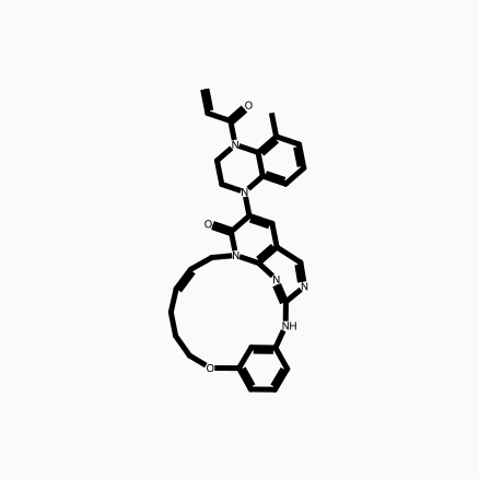 C=CC(=O)N1CCN(c2cc3cnc4nc3n(c2=O)C/C=C\CCCOc2cccc(c2)N4)c2cccc(C)c21